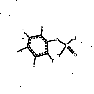 Cc1c(F)c(F)c(OP(=O)(Cl)Cl)c(F)c1F